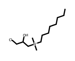 CCCCCCCC[N+](C)(C)CC(O)CCl